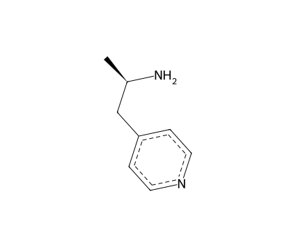 C[C@@H](N)Cc1ccncc1